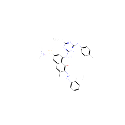 CCN(CC)OS(=O)(=O)c1cc(Nc2nc(Nc3ccc(C)cc3)nc(OC)n2)c2c(O)c(N=Nc3ccccc3C(=O)O)c(C)cc2c1